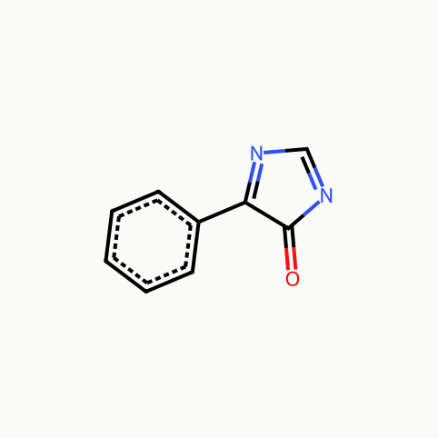 O=C1N=CN=C1c1ccccc1